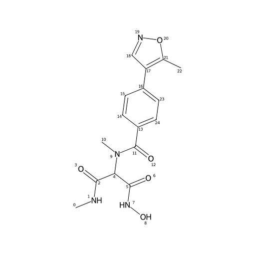 CNC(=O)C(C(=O)NO)N(C)C(=O)c1ccc(-c2cnoc2C)cc1